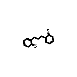 S=C1CC=CC=C1C[CH]CC1=CC=CCC1=S